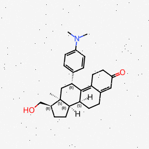 CN(C)c1ccc([C@H]2C[C@]3(C)[C@H](CO)CC[C@@H]3[C@@H]3CCC4=CC(=O)CCC4=C32)cc1